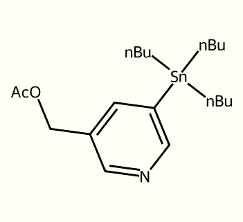 CCC[CH2][Sn]([CH2]CCC)([CH2]CCC)[c]1cncc(COC(C)=O)c1